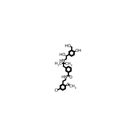 COc1ccc(Cl)cc1CCNC(=O)c1cccc(CC(C)(C)NC[C@H](O)c2ccc(O)c(CO)c2)c1